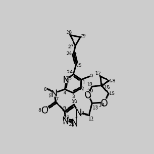 Cc1ccc(N(C)C(=O)c2cn(CC3OCC4(CC4)CO3)nn2)nc1C#CC1CC1